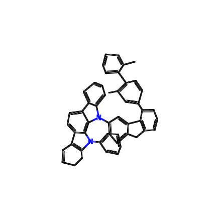 Cc1ccccc1-c1ccc(-c2cccc3c2-c2cc(-n4c5ccccc5c5ccc6c7c(n(-c8ccccc8)c6c54)CCC=C7)ccc2C3)cc1C